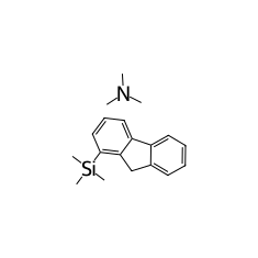 CN(C)C.C[Si](C)(C)c1cccc2c1Cc1ccccc1-2